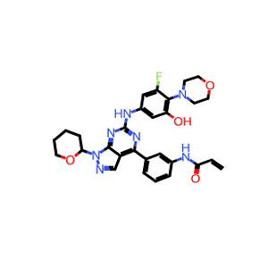 C=CC(=O)Nc1cccc(-c2nc(Nc3cc(O)c(N4CCOCC4)c(F)c3)nc3c2cnn3C2CCCCO2)c1